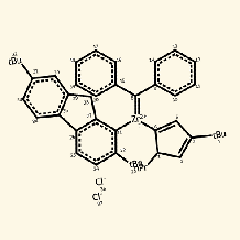 CCCC1C=C(C(C)(C)C)C=[C]1[Zr+2](=[C](c1ccccc1)c1ccccc1)[c]1c(C(C)(C)C)ccc2c1Cc1cc(C(C)(C)C)ccc1-2.[Cl-].[Cl-]